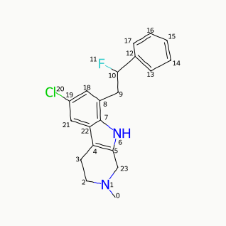 CN1CCc2c([nH]c3c(CC(F)c4ccccc4)cc(Cl)cc23)C1